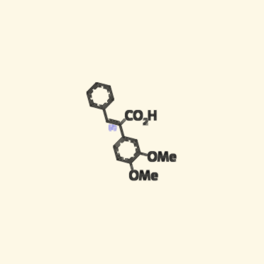 COc1ccc(/C(=C/c2ccccc2)C(=O)O)cc1OC